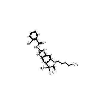 CCCCCN1C(=O)C(C)(C)c2cc3[nH]c(NC(=O)c4ccccc4Br)nc3cc21